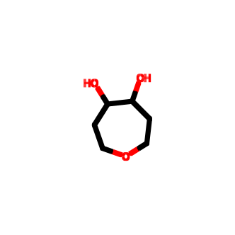 OC1CCOCCC1O